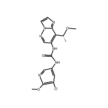 COc1ncc(NC(=O)Nc2cnn3ccnc3c2[C@@H](C)OC)cc1Cl